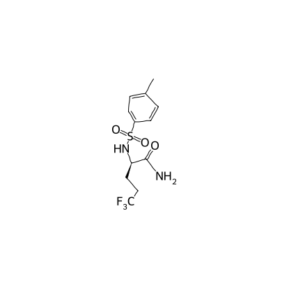 Cc1ccc(S(=O)(=O)N[C@H](CCC(F)(F)F)C(N)=O)cc1